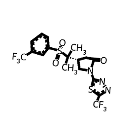 CC(C)([C@@H]1CC(=O)N(c2nnc(C(F)(F)F)s2)C1)S(=O)(=O)c1cccc(C(F)(F)F)c1